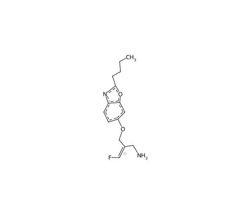 CCCCc1nc2ccc(OC/C(=C\F)CN)cc2o1